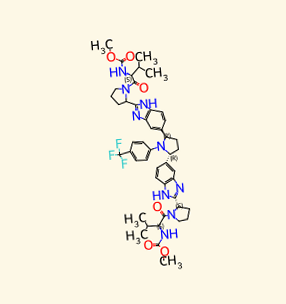 COC(=O)N[C@H](C(=O)N1CCCC1c1nc2cc([C@H]3CC[C@H](c4ccc5[nH]c([C@@H]6CCCN6C(=O)[C@@H](NC(=O)OC)C(C)C)nc5c4)N3c3ccc(C(F)(F)F)cc3)ccc2[nH]1)C(C)C